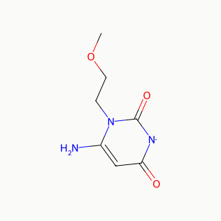 COCCN1C(=O)[N]C(=O)C=C1N